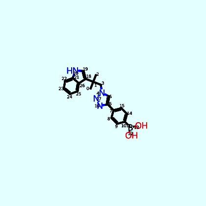 CC(C)(Cn1cc(-c2ccc(B(O)O)cc2)nn1)c1c[nH]c2ccccc12